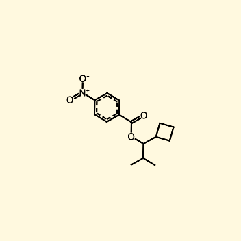 CC(C)C(OC(=O)c1ccc([N+](=O)[O-])cc1)C1CCC1